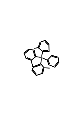 Cc1ccccc1S(c1ccccc1)(c1ccccc1C)c1ccccc1C